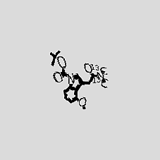 COc1cccc2c1c(CC(=O)N([13CH3])[13CH3])cn2C(=O)OC(C)(C)C